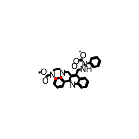 COC(=O)N1CCN(Cc2c(-c3ccccc3)nc3ccccc3c2C(=O)NN(C(=O)OC)c2ccccc2)CC1